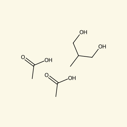 CC(=O)O.CC(=O)O.CC(CO)CO